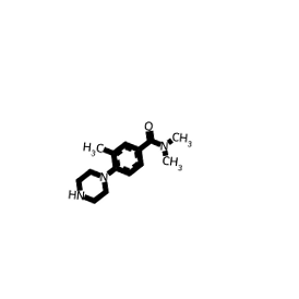 Cc1cc(C(=O)N(C)C)ccc1N1CCNCC1